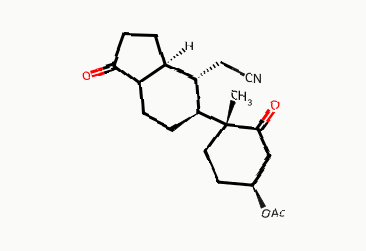 CC(=O)O[C@H]1CC[C@](C)([C@H]2CCC3C(=O)CC[C@H]3[C@@H]2CC#N)C(=O)C1